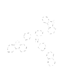 c1cc(-c2cccc3sc4ccccc4c23)cc(N(Cc2ccccc2-c2cccc3c2oc2ccccc23)c2ccc(-c3ccc4ccccc4c3)cc2)c1